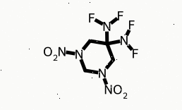 O=[N+]([O-])N1CN([N+](=O)[O-])CC(N(F)F)(N(F)F)C1